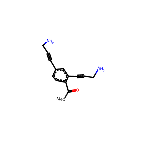 COC(=O)c1ccc(C#CCN)cc1C#CCN